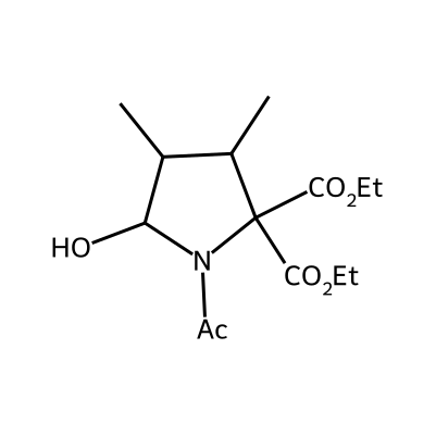 CCOC(=O)C1(C(=O)OCC)C(C)C(C)C(O)N1C(C)=O